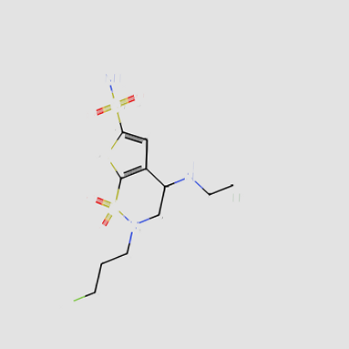 CCNC1CN(CCCF)S(=O)(=O)c2sc(S(N)(=O)=O)cc21.Cl